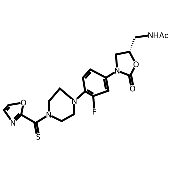 CC(=O)NC[C@H]1CN(c2ccc(N3CCN(C(=S)c4ncco4)CC3)c(F)c2)C(=O)O1